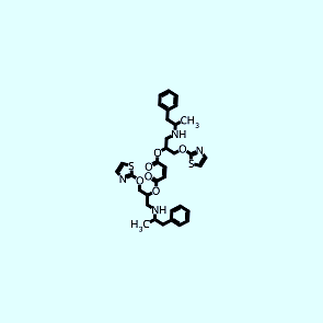 CC(Cc1ccccc1)NCC(COc1nccs1)OC(=O)/C=C\C(=O)OC(CNC(C)Cc1ccccc1)COc1nccs1